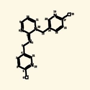 Clc1ccc(C/N=c2\ncccn2Cc2ccc(Cl)nc2)cn1